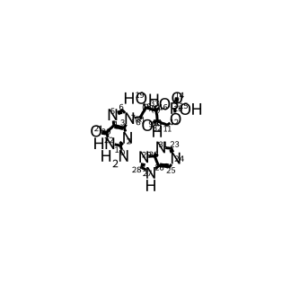 Nc1nc2c(ncn2[C@@H]2O[C@@H]3COP(=O)(O)O[C@H]3[C@H]2O)c(=O)[nH]1.c1ncc2[nH]cnc2n1